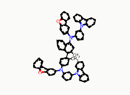 Cc1cc(N(c2cccc(-n3c4ccccc4c4ccccc43)c2)c2ccc3oc4ccccc4c3c2)ccc1-c1c(C)cc(N(c2cccc(-n3c4ccccc4c4ccccc43)c2)c2ccc3oc4ccccc4c3c2)c2ccccc12